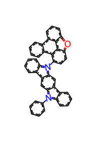 c1ccc(-n2c3ccccc3c3cc4c(cc32)c2ccccc2n4-c2ccc3oc4cccc5c6ccccc6c2c3c45)cc1